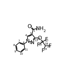 NC(=O)c1cn(-c2ccccc2)nc1OC(F)(F)C(F)F